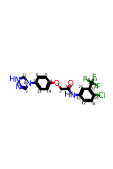 O=C(COc1ccc(N2C=NNC2)cc1)Nc1ccc(Cl)c(C(F)(F)F)c1